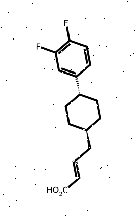 O=C(O)/C=C/C[C@H]1CC[C@H](c2ccc(F)c(F)c2)CC1